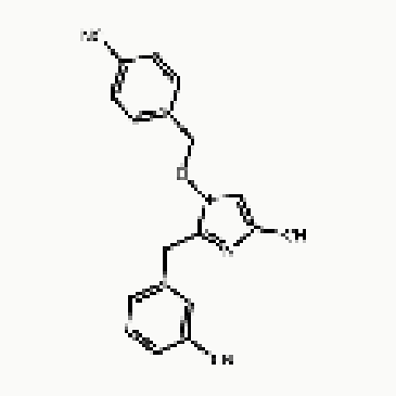 Cc1cn(OCc2ccc(C#N)cc2)c(Cc2cccc(C#N)c2)n1